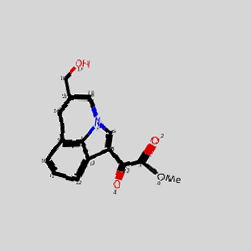 COC(=O)C(=O)c1cn2c3c(cccc13)CC(CO)C2